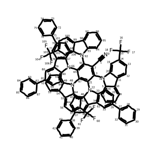 N#Cc1c(-n2c3ccccc3c3ccc(C(F)(F)F)cc32)c(-n2c3ccc(-c4ccccc4)cc3c3cc(-c4ccccc4)ccc32)c(-n2c3ccccc3c3ccc(C(F)(F)F)cc32)c(-n2c3ccc(-c4ccccc4)cc3c3cc(-c4ccccc4)ccc32)c1-n1c2ccccc2c2ccc(C(F)(F)F)cc21